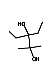 CCC(O)(CC)C(C)(C)O